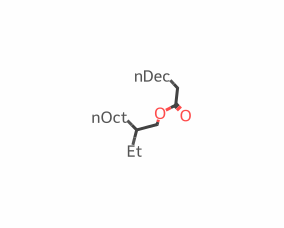 CCCCCCCCCCCC(=O)OCC(CC)CCCCCCCC